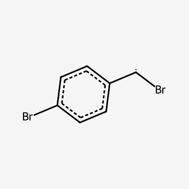 Br[CH]c1ccc(Br)cc1